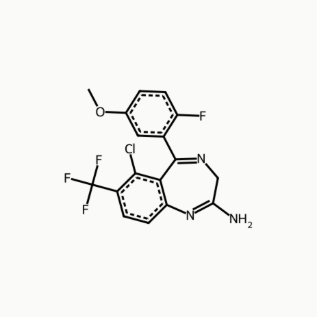 COc1ccc(F)c(C2=NCC(N)=Nc3ccc(C(F)(F)F)c(Cl)c32)c1